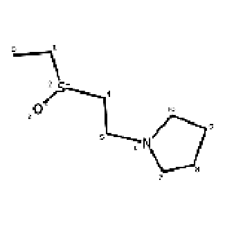 CC[S+]([O-])CCN1CCCC1